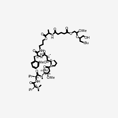 CC[C@H](C)[C@@H]([C@@H](CC(=O)N1CCC[C@H]1[C@H](OC)[C@@H](C)C(=O)N[C@@H](Cc1ccccc1)C(=O)NCCCOC(=O)C(C)NC(=O)CCCC(=O)OCC(OC)OC(CO)CC(C)(C)C)OC)N(C)C(=O)[C@@H](NC(=O)[C@H](C(C)C)N(C)C)C(C)C